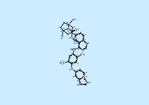 Cc1cc(Nc2ncnc3ccc(C4C[C@H]5CC[C@@H](C4)N5C(=O)OC(C)(C)C)nc23)c(F)cc1Oc1ccn2ncnc2c1